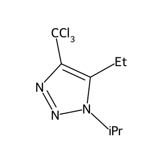 CCc1c(C(Cl)(Cl)Cl)nnn1C(C)C